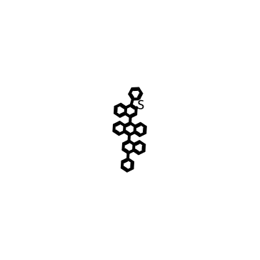 c1ccc(-c2ccc(-c3c4ccccc4c(-c4cc5sc6ccccc6c5c5ccccc45)c4ccccc34)c3ccccc23)cc1